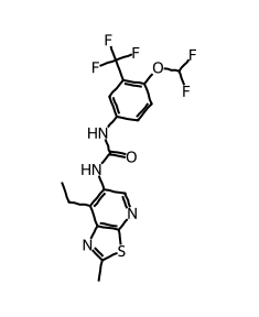 CCc1c(NC(=O)Nc2ccc(OC(F)F)c(C(F)(F)F)c2)cnc2sc(C)nc12